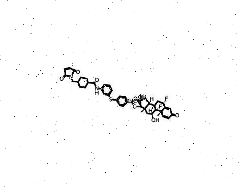 C[C@]12C=CC(=O)C=C1[C@@H](F)C[C@H]1[C@@H]3C[C@H]4O[C@@H](c5ccc(Sc6cccc(NC(=O)C7CCC(CN8C(=O)C=CC8=O)CC7)c6)cc5)O[C@@]4(C(O)C=O)[C@@]3(C)C[C@H](O)[C@@]12F